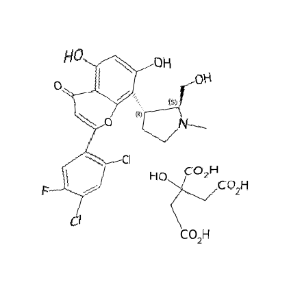 CN1CC[C@H](c2c(O)cc(O)c3c(=O)cc(-c4cc(F)c(Cl)cc4Cl)oc23)[C@H]1CO.O=C(O)CC(O)(CC(=O)O)C(=O)O